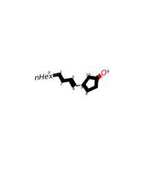 CCCCCCCC/C=C/[C@H]1CCC(=O)C1